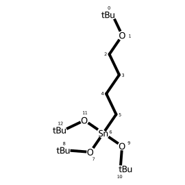 CC(C)(C)OCCC[CH2][Sn]([O]C(C)(C)C)([O]C(C)(C)C)[O]C(C)(C)C